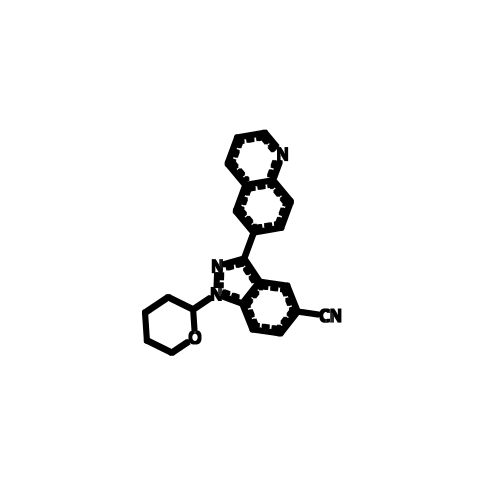 N#Cc1ccc2c(c1)c(-c1ccc3ncccc3c1)nn2C1CCCCO1